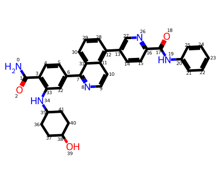 NC(=O)c1ccc(-c2nccc3c(-c4ccc(C(=O)Nc5ccccc5)nc4)cccc23)cc1NC1CCC(O)CC1